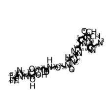 CC1(C)C(=O)c2ccc(-c3cnc(N4CCN5C(=O)N(CCOCCNC(=O)CNC[C@H]6OC[C@H](Nc7cncc(C(F)(F)F)n7)[C@@H](O)[C@H]6O)C[C@@H]5C4)nc3)nc2N1Cc1cccnc1C#N